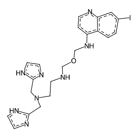 Ic1ccc2c(NCOCNCCN(Cc3ncc[nH]3)Cc3ncc[nH]3)ccnc2c1